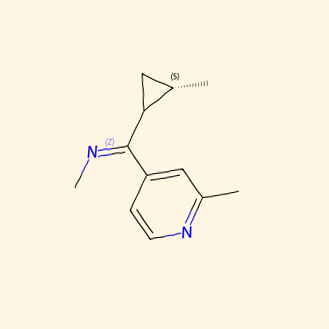 C/N=C(\c1ccnc(C)c1)C1C[C@@H]1C